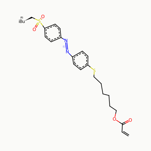 C=CC(=O)OCCCCCCSc1ccc(/N=N/c2ccc(S(=O)(=O)C[C@H](C)CC)cc2)cc1